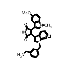 COc1ccc2c(c1)c(C1=C(c3cn(Cc4cccc(CN)c4)c4ccccc34)C(=O)NC1=O)cn2C.Cl